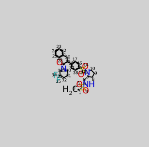 C=CS(=O)(=O)NC[C@@H]1CCCN1S(=O)(=O)c1ccc(C(Cc2ccccc2)C(=O)N2CCCC(F)(F)C2)cc1